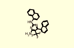 Nc1nc(Nc2cccc3ccccc23)nc(-c2cccc3ccccc23)c1C(F)(F)F